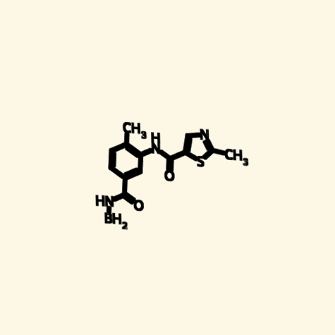 BNC(=O)c1ccc(C)c(NC(=O)c2cnc(C)s2)c1